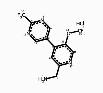 Cl.NCc1cc(-c2cnc(C(F)(F)F)nc2)c(OC(F)(F)F)cn1